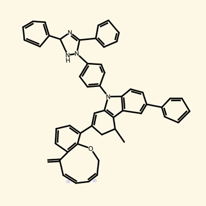 C=C1/C=C\C=C/COc2c1cccc2C1=Cc2c(c3cc(-c4ccccc4)ccc3n2-c2ccc(N3NC(c4ccccc4)N=C3c3ccccc3)cc2)C(C)C1